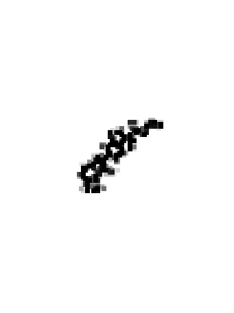 COc1ccc2nc(-c3ccc4c(c3)OC[C@@H]4NC(=O)OC(C)(C)C)c(Br)n2n1